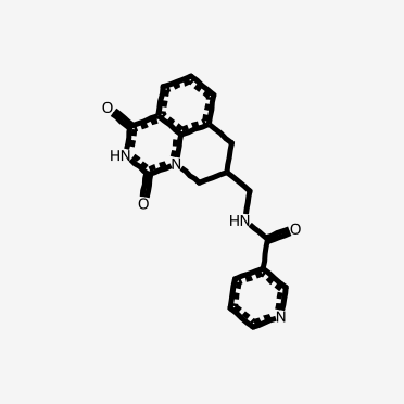 O=C(NCC1Cc2cccc3c(=O)[nH]c(=O)n(c23)C1)c1cccnc1